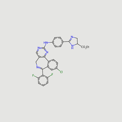 CCOC(=O)C1CN=C(c2ccc(Nc3ncc4c(n3)-c3ccc(Cl)cc3C(c3c(F)cccc3F)=NC4)cc2)N1